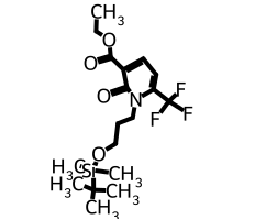 CCOC(=O)c1ccc(C(F)(F)F)n(CCCO[Si](C)(C)C(C)(C)C)c1=O